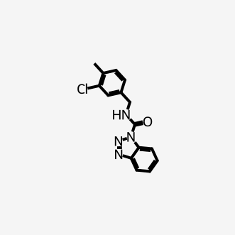 Cc1ccc(CNC(=O)n2nnc3ccccc32)cc1Cl